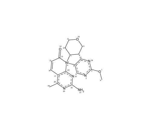 COc1ncc([N+]2(C3CCOCC3)C(=O)C=Cc3c(C)nc(N)nc32)cn1